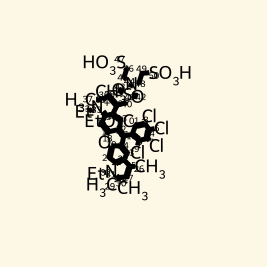 CCOC(=O)c1c(Cl)c(Cl)c(Cl)c(Cl)c1C1=c2cc3c(cc2Oc2cc4c(cc21)C(C)=CC(C)(C)N4CC)=[N+](CC)C(C)(C)C=C3CS(=O)(=O)N(CCS(=O)(=O)O)CCS(=O)(=O)O